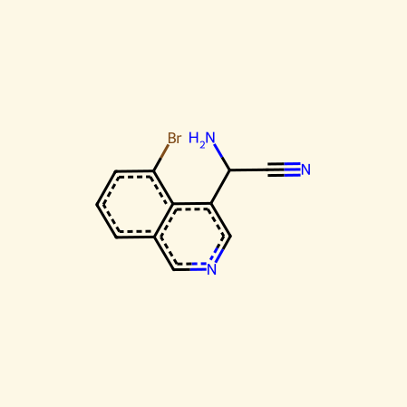 N#CC(N)c1cncc2cccc(Br)c12